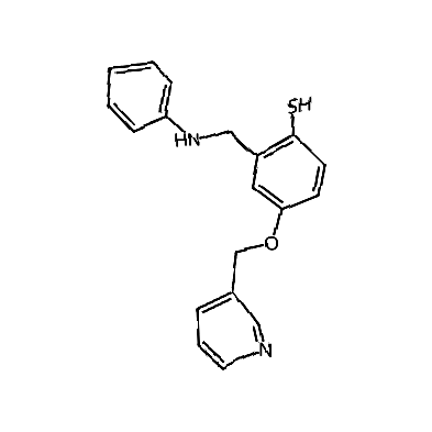 Sc1ccc(OCc2cccnc2)cc1CNc1ccccc1